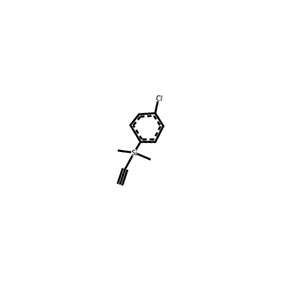 C#C[Si](C)(C)c1ccc(Cl)cc1